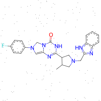 CC1CN(Cc2nc3ccccc3[nH]2)CC1C1=NC2=CN(c3ccc(F)cc3)CN2C(=O)N1